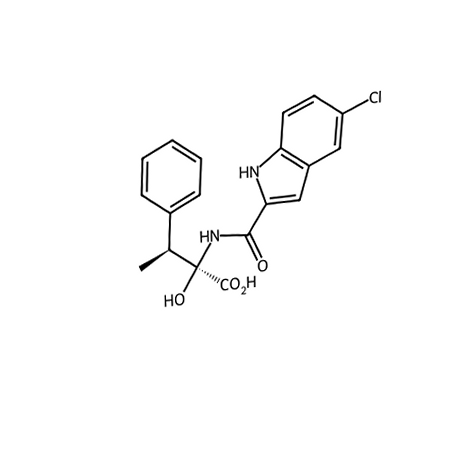 C[C@@H](c1ccccc1)[C@](O)(NC(=O)c1cc2cc(Cl)ccc2[nH]1)C(=O)O